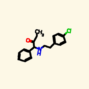 CCC(=O)C(NCCc1ccc(Cl)cc1)c1ccccc1